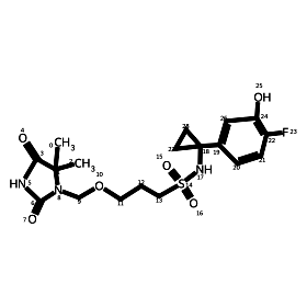 CC1(C)C(=O)NC(=O)N1COCCCS(=O)(=O)NC1(c2ccc(F)c(O)c2)CC1